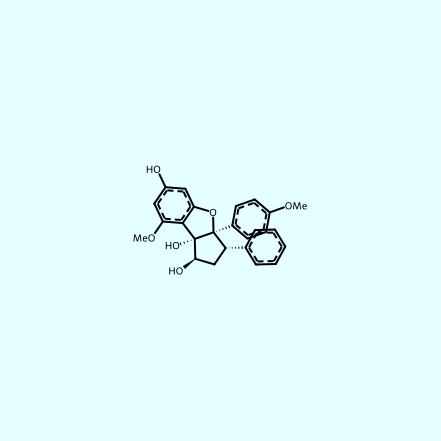 COc1ccc([C@@]23Oc4cc(O)cc(OC)c4[C@]2(O)[C@H](O)C[C@H]3c2ccccc2)cc1